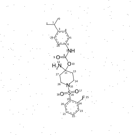 CC(C)c1ccc(NC(=O)OC2(N)CCN(S(=O)(=O)c3ccccc3F)CC2)cc1